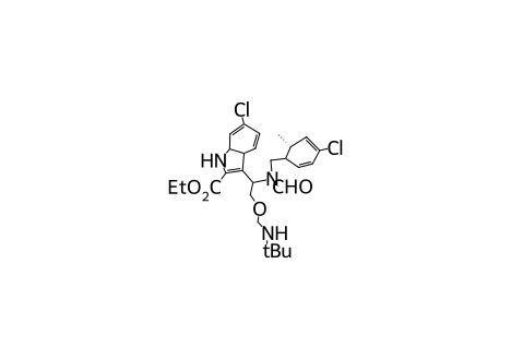 CCOC(=O)C1=C(C(COCNC(C)(C)C)N(C=O)CC2C=CC(Cl)=C[C@H]2C)C2C=CC(Cl)=CC2N1